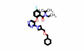 CCN(C(=O)c1cc(F)ccc1Oc1cncnc1N1CC(COCC2CCCCC2)C1)C(C)C